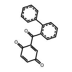 O=C1C=CC(=O)C(C(=O)c2ccccc2-c2ccccc2)=C1